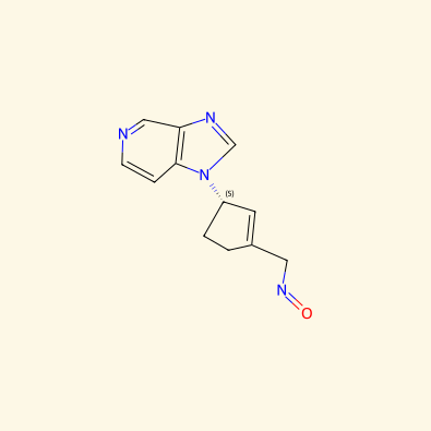 O=NCC1=C[C@@H](n2cnc3cnccc32)CC1